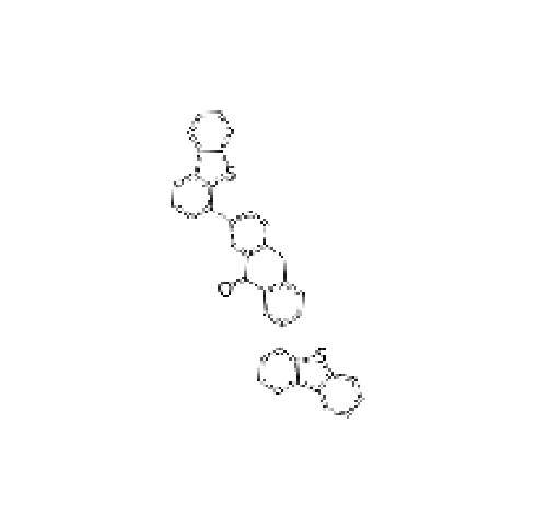 O=C1c2cc(-c3cccc4c3sc3ccccc34)ccc2Cc2ccc(-c3cccc4c3sc3ccccc34)cc21